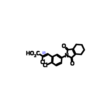 O=C(O)/C(Cl)=C/c1cc(N2C(=O)C3=C(CCCC3)C2=O)ccc1Cl